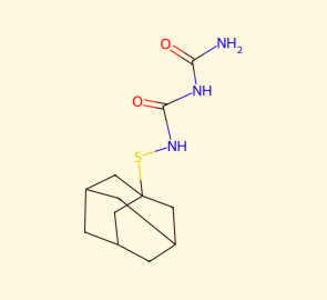 NC(=O)NC(=O)NSC12CC3CC(CC(C3)C1)C2